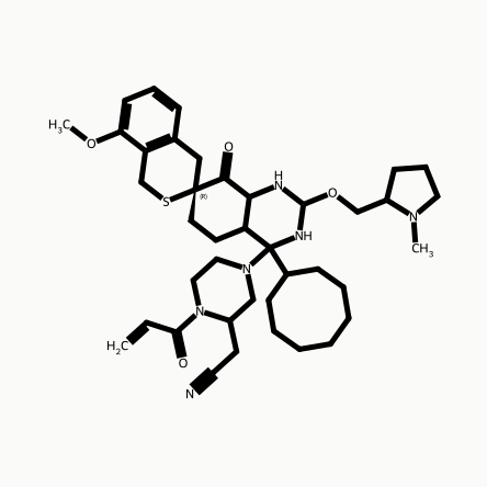 C=CC(=O)N1CCN(C2(C3CCCCCCC3)NC(OCC3CCCN3C)NC3C(=O)[C@@]4(CCC32)Cc2cccc(OC)c2CS4)CC1CC#N